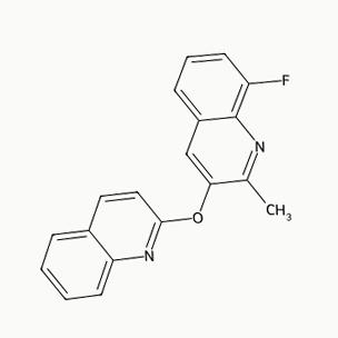 Cc1nc2c(F)cccc2cc1Oc1ccc2ccccc2n1